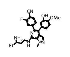 CCC(N)CCNc1nc(-c2ccc(C#N)c(F)c2)c(-c2ccc(OC)c(O)c2)c2cnn(C)c12